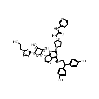 O=C(Nc1cccnc1)N[C@@H]1CCN(c2nc(NCC(c3ccc(O)cc3)c3ccc(O)cc3)c3ncn([C@@H]4O[C@H](c5nnn(CCO)n5)[C@@H](O)[C@@H]4O)c3n2)C1